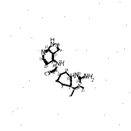 CC([C@H]1CC[C@H](C(=O)Nc2ccnc3[nH]ncc23)CC1)N(C)C(=N)N